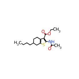 CCCCC1CCc2c(sc(NC(C)=O)c2C(=O)OCC)C1